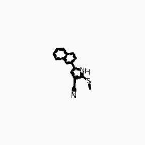 CSc1[nH]c(-c2ccc3ccccc3c2)cc1C#N